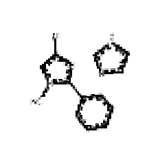 CCc1cn(C#N)c(-c2ccccc2)n1.c1c[nH]cn1